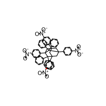 O=[N+]([O-])c1ccc(C23CC4(c5ccc([N+](=O)[O-])cc5)CC(c5ccc([N+](=O)[O-])cc5)(C2)C(c2ccccc2)(c2ccccc2)C(c2ccc([N+](=O)[O-])cc2)(C3)C4(c2ccccc2)c2ccccc2)cc1